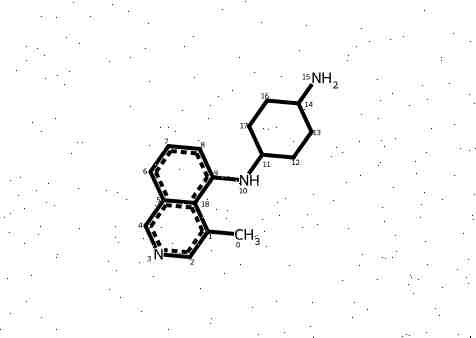 Cc1cncc2cccc(NC3CCC(N)CC3)c12